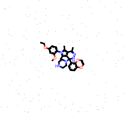 CCOc1ccc(-n2c(C)c3c(c2C)C(c2cccc4c2OC=CO4)(N2CCNCC2)NN=C3C)c(OC)c1